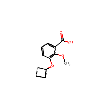 COc1c(OC2CCC2)cccc1C(=O)O